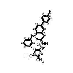 Cc1nc(S(=O)(=O)NC2Cc3cc(-c4ccc(F)cc4)ccc3N(Cc3ccccc3)C2)cn1C